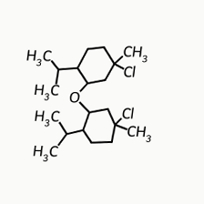 CC(C)C1CCC(C)(Cl)CC1OC1CC(C)(Cl)CCC1C(C)C